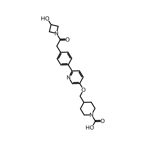 O=C(O)N1CCC(COc2ccc(-c3ccc(CC(=O)N4CC(O)C4)cc3)nc2)CC1